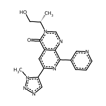 C[C@@H](CO)n1cnc2c(-c3cccnc3)nc(-c3cnnn3C)cc2c1=O